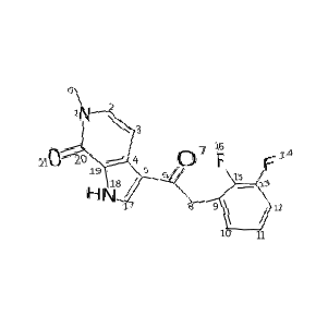 Cn1ccc2c(C(=O)Cc3cccc(F)c3F)c[nH]c2c1=O